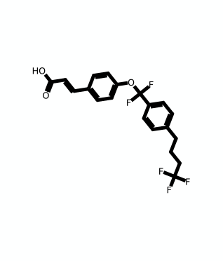 O=C(O)C=Cc1ccc(OC(F)(F)c2ccc(CCCC(F)(F)F)cc2)cc1